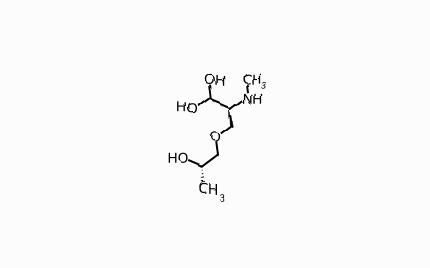 CN[C@@H](COC[C@H](C)O)C(O)O